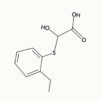 CCc1ccccc1SC(O)C(=O)O